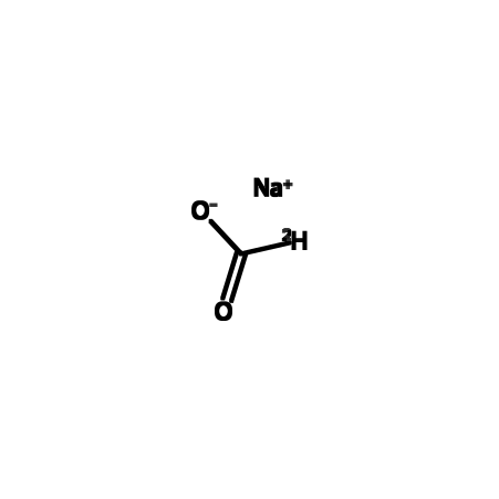 [2H]C(=O)[O-].[Na+]